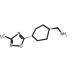 Cc1noc([C@H]2CC[C@H](CN)CC2)n1